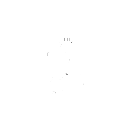 Cc1c(C=O)c2ccccc2n1-c1ccc(OP)c(F)c1